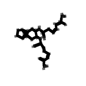 C=C(/C=C\C=C\C(=O)OC1CC2C3CCC(C3)C2CC1OC(=O)C/C=C\C=C(/C)C(C)(C)C)C(C)(C)C